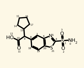 NS(=O)(=O)c1nc2cc(C(C(=O)O)C3CCCC3)ccc2s1